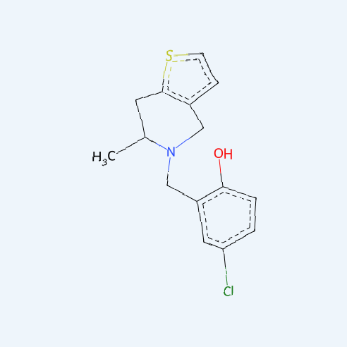 CC1Cc2sccc2CN1Cc1cc(Cl)ccc1O